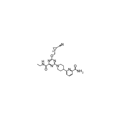 CCNC(=O)c1nc(OC[C@H]2CC2C#N)nc(N2CCC(c3cccc(C(N)=O)n3)CC2)n1